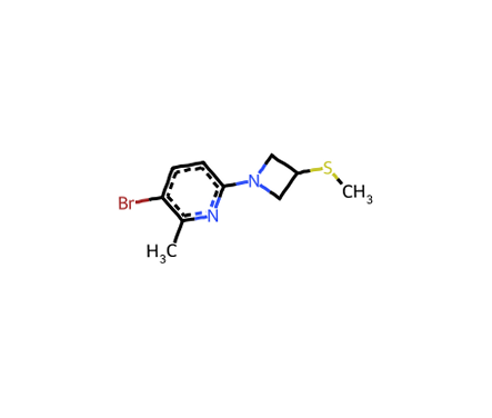 CSC1CN(c2ccc(Br)c(C)n2)C1